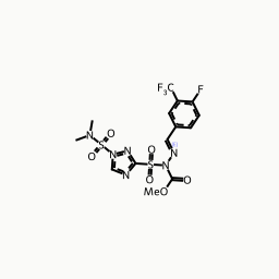 COC(=O)N(/N=C/c1ccc(F)c(C(F)(F)F)c1)S(=O)(=O)c1ncn(S(=O)(=O)N(C)C)n1